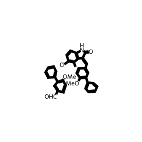 COc1ccc(/C=C2/C(=O)Nc3ccc(Cl)c(C)c32)cc1-c1ccccc1.COc1ccc(C=O)cc1-c1ccccc1